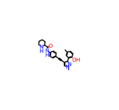 Cc1ccc(O)c(-c2nn(C)cc2C#Cc2ccc(NC(=O)C3CCCCN3)cc2)c1